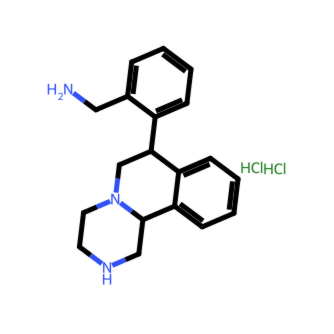 Cl.Cl.NCc1ccccc1C1CN2CCNCC2c2ccccc21